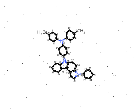 Cc1ccc(N(c2ccc(C)cc2)c2ccc(-n3c4ccccc4c4c5ccn(-c6ccccc6)c5ccc43)cc2)cc1